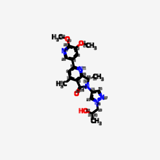 COc1cc(-c2cc(C)c3c(n2)[C@H](C)N(c2cnn(C[C@@H](C)O)c2)C3=O)cnc1OC